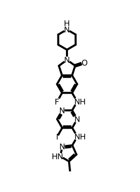 Cc1cc(Nc2nc(Nc3cc4c(cc3F)CN(C3CCNCC3)C4=O)ncc2I)n[nH]1